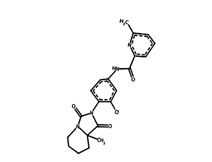 Cc1cccc(C(=O)Nc2ccc(N3C(=O)N4CCCCC4(C)C3=O)c(Cl)c2)n1